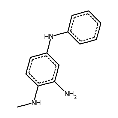 CNc1ccc(Nc2ccccc2)cc1N